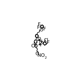 O=C(OCCCCO[N+](=O)[O-])N1CC=C(c2ccc(CCCOc3c(F)ccc(F)c3F)cc2)C(C(=O)N(Cc2c(F)ccc(F)c2Cl)C2CC2)C1